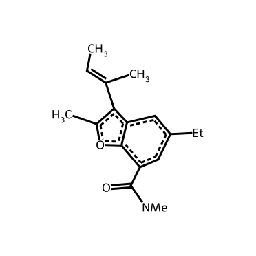 C/C=C(\C)c1c(C)oc2c(C(=O)NC)cc(CC)cc12